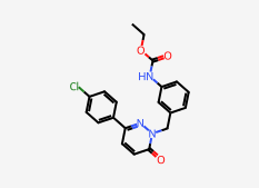 CCOC(=O)Nc1cccc(Cn2nc(-c3ccc(Cl)cc3)ccc2=O)c1